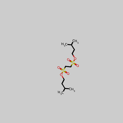 CC(C)CCOS(=O)(=O)CCS(=O)(=O)OCCC(C)C